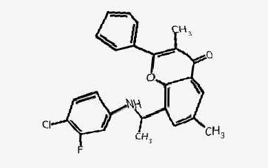 Cc1cc(C(C)Nc2ccc(Cl)c(F)c2)c2oc(-c3ccccc3)c(C)c(=O)c2c1